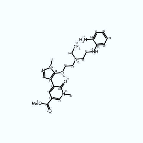 COC(=O)c1cc(-c2cnn(C)c2OCCN(CCNc2ccccc2N)CC(F)(F)F)c(=O)n(C)c1